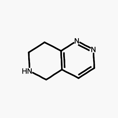 c1cc2c(nn1)CCNC2